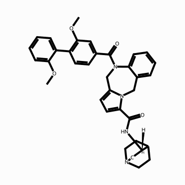 COc1ccccc1-c1ccc(C(=O)N2Cc3ccc(C(=O)N[C@H]4CN5CCC4CC5)n3Cc3ccccc32)cc1OC